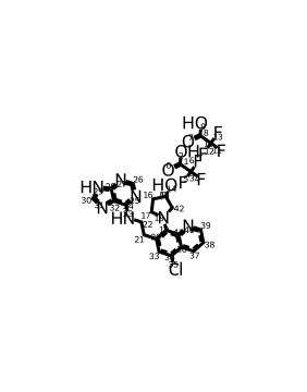 O=C(O)C(F)(F)F.O=C(O)C(F)(F)F.O[C@@H]1CCN(c2c(CCNc3ncnc4[nH]cnc34)cc(Cl)c3cccnc23)C1